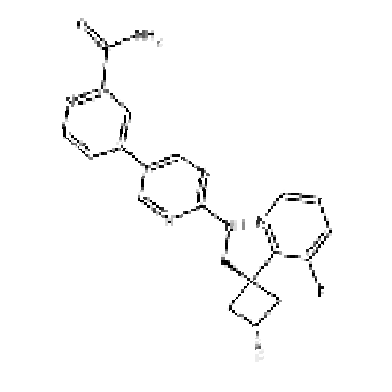 NC(=O)c1cc(-c2cnc(NC[C@]3(c4ncccc4F)C[C@@H](F)C3)nc2)ccn1